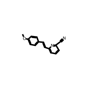 COc1ccc(C=Cc2cccc(C#N)n2)cc1